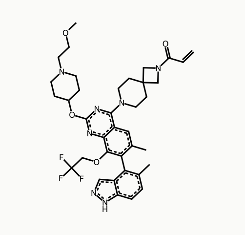 C=CC(=O)N1CC2(CCN(c3nc(OC4CCN(CCOC)CC4)nc4c(OCC(F)(F)F)c(-c5c(C)ccc6[nH]ncc56)c(C)cc34)CC2)C1